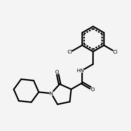 O=C(NCc1c(Cl)cccc1Cl)C1CCN(C2CCCCC2)C1=O